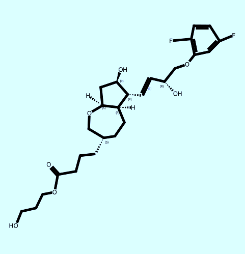 O=C(CCC[C@H]1CC[C@@H]2[C@@H](/C=C/[C@@H](O)COc3cc(F)ccc3F)[C@H](O)C[C@@H]2OC1)OCCCO